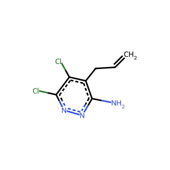 C=CCc1c(N)nnc(Cl)c1Cl